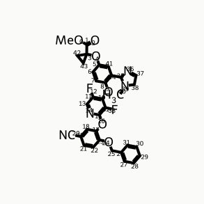 COC(=O)C1(Oc2ccc(Oc3c(F)cnc(Oc4cc(C#N)ccc4OCc4ccccc4)c3F)c(C3N=CCN3C)c2)CC1